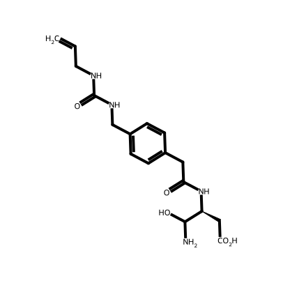 C=CCNC(=O)NCc1ccc(CC(=O)N[C@@H](CC(=O)O)C(N)O)cc1